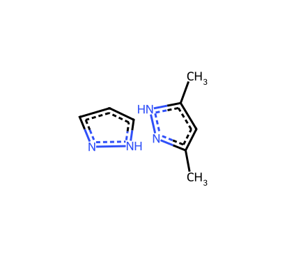 Cc1cc(C)[nH]n1.c1cn[nH]c1